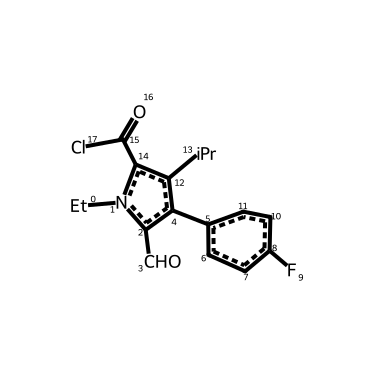 CCn1c(C=O)c(-c2ccc(F)cc2)c(C(C)C)c1C(=O)Cl